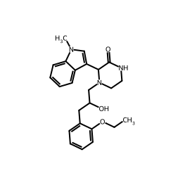 CCOc1ccccc1CC(O)CN1CCNC(=O)C1c1cn(C)c2ccccc12